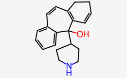 OC1(C2CCNCC2)C2=C(C=Cc3ccccc31)CCC=C2